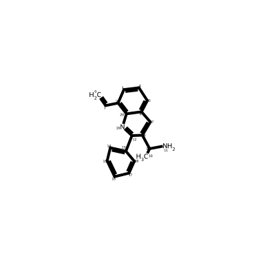 C=Cc1cccc2cc(C(C)N)c(-c3ccccc3)nc12